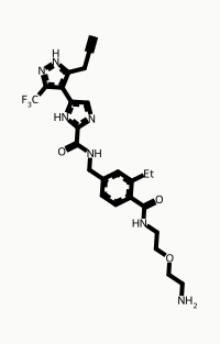 C#CCc1[nH]nc(C(F)(F)F)c1-c1cnc(C(=O)NCc2ccc(C(=O)NCCOCCN)c(CC)c2)[nH]1